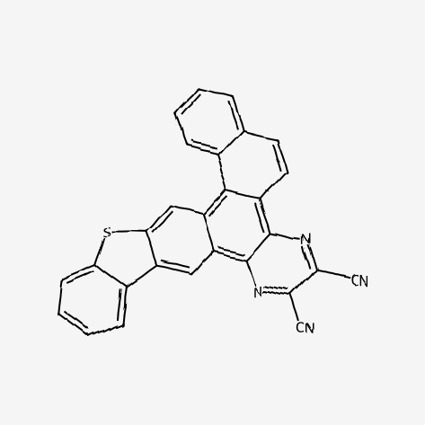 N#Cc1nc2c3cc4c(cc3c3c5ccccc5ccc3c2nc1C#N)sc1ccccc14